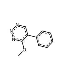 COc1nnncc1-c1ccccc1